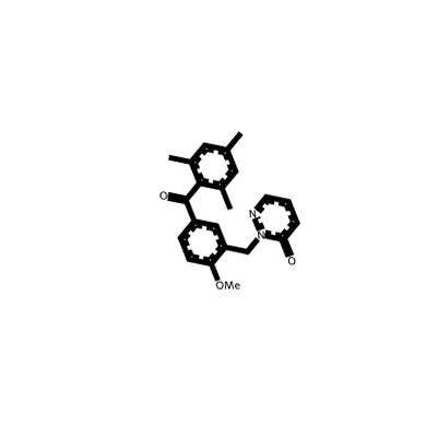 COc1ccc(C(=O)c2c(C)cc(C)cc2C)cc1Cn1ncccc1=O